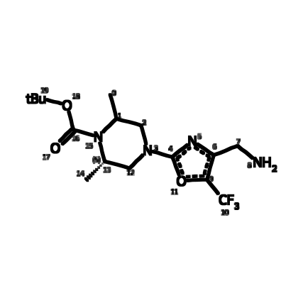 CC1CN(c2nc(CN)c(C(F)(F)F)o2)C[C@H](C)N1C(=O)OC(C)(C)C